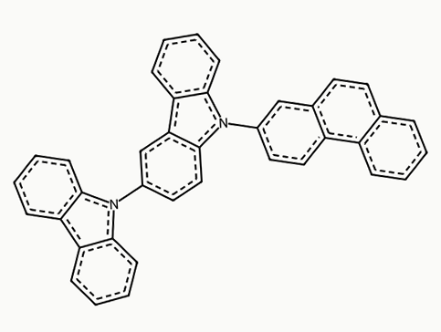 c1ccc2c(c1)ccc1cc(-n3c4ccccc4c4cc(-n5c6ccccc6c6ccccc65)ccc43)ccc12